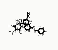 CN1C(=N)N[C@](C)(c2cccc(C#N)c2)[C@H](c2ccc(OCc3ccccc3)cc2)C1=O